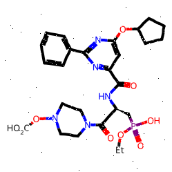 CCOP(=O)(O)C[C@H](NC(=O)c1cc(OC2CCCC2)nc(-c2ccccc2)n1)C(=O)N1CCN(OC(=O)O)CC1